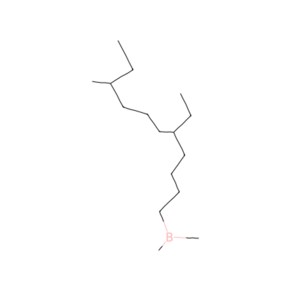 CCC(C)CCCC(CC)CCCCB(C)C